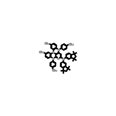 CC(C)(C)c1ccc(N2c3ccc(C(C)(C)C)cc3B3c4cc(C(C)(C)C)ccc4N(c4ccc(C(C)(C)C)cc4)c4nc(N(c5ccc6c(c5)C(C)(C)CC6(C)C)c5ccc6c(c5)C(C)(C)CC6(C)C)cc2c43)cc1